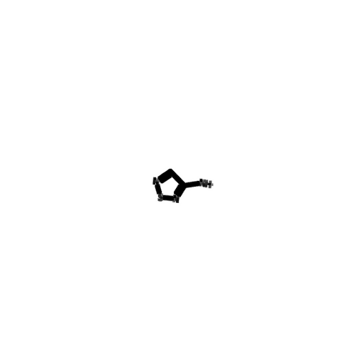 [NH]c1cnsn1